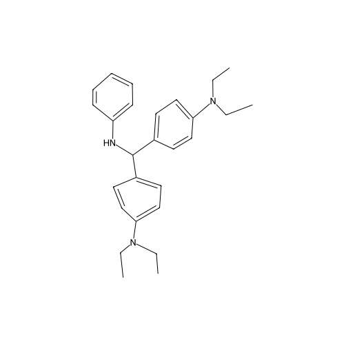 CCN(CC)c1ccc(C(Nc2ccccc2)c2ccc(N(CC)CC)cc2)cc1